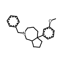 COc1cccc(C23CCCC2CN(Cc2ccccc2)CCC3)c1